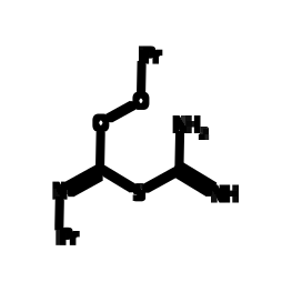 CC(C)N=C(OOC(C)C)SC(=N)N